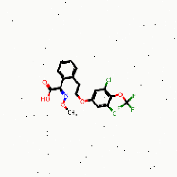 CON=C(C(=O)O)c1ccccc1CCOc1cc(Cl)c(OC(F)(F)F)c(Cl)c1